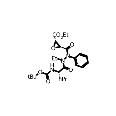 CCC[C@H](NC(=O)OC(C)(C)C)C(=O)N(CC)N(C(=O)[C@H]1O[C@@H]1C(=O)OCC)c1ccccc1